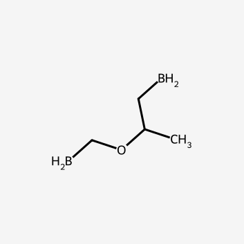 BCOC(C)CB